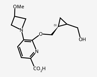 COC1CN(c2ccc(C(=O)O)nc2OC[C@H]2CC2CO)C1